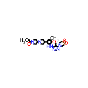 C=CC(=O)N1CCC(N2CCC(c3cc(C)c4c(c3)Nc3ncnc(N5CCS(=O)(=O)CC5)c3CO4)CC2)CC1